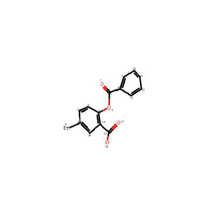 CCc1ccc(OC(=O)c2ccccc2)c(C([O])=O)c1